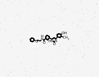 Cc1cc(-c2cc(-c3cccc(C(=O)NCCOc4ccccc4)c3)[nH]c(=O)n2)ccc1O